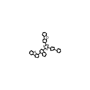 c1ccc(-c2ccc(-c3nc(-c4ccc5c(c4)oc4ccccc45)nc(-c4ccc(-c5cccc6c5sc5ccccc56)c5ccccc45)n3)cc2)cc1